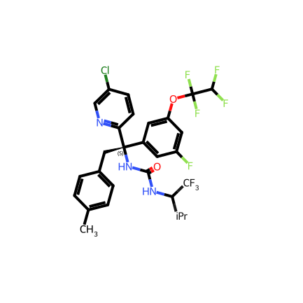 Cc1ccc(C[C@](NC(=O)NC(C(C)C)C(F)(F)F)(c2cc(F)cc(OC(F)(F)C(F)F)c2)c2ccc(Cl)cn2)cc1